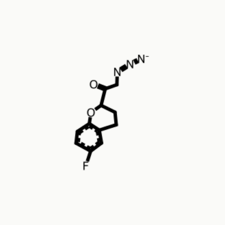 [N-]=[N+]=NCC(=O)C1CCc2cc(F)ccc2O1